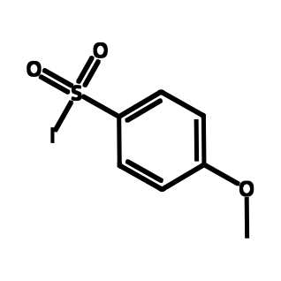 COc1ccc(S(=O)(=O)I)cc1